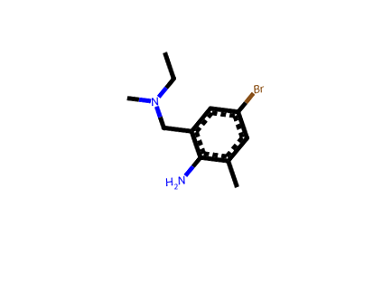 CCN(C)Cc1cc(Br)cc(C)c1N